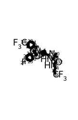 CC1(C)N=C(C23CC(N(Cc4ccc(C(F)(F)F)cc4)S(=O)(=O)c4ccc(F)cc4)(C2)C3)N[C@H]1C(=O)NCCC(F)(F)F